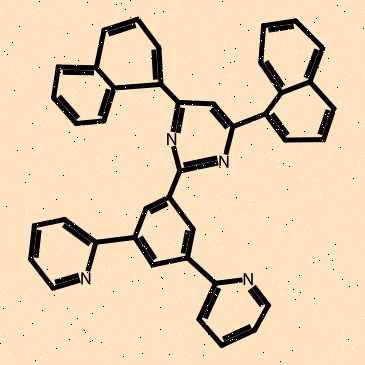 c1ccc(-c2cc(-c3ccccn3)cc(-c3nc(-c4cccc5ccccc45)cc(-c4cccc5ccccc45)n3)c2)nc1